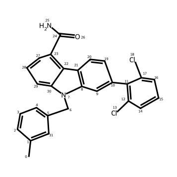 Cc1cccc(Cn2c3cc(-c4c(Cl)cccc4Cl)c[c]c3c3c(C(N)=O)cccc32)c1